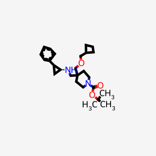 CC(C)(C)OC(=O)N1CCC(CN[C@@H]2CC2c2ccccc2)(COCC2CCC2)CC1